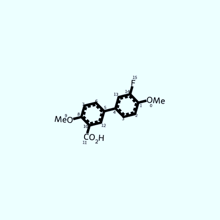 COc1ccc(-c2ccc(OC)c(C(=O)O)c2)cc1F